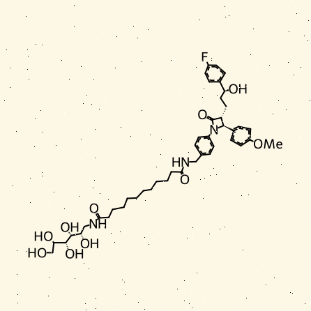 COc1ccc([C@@H]2[C@@H](CC[C@H](O)c3ccc(F)cc3)C(=O)N2c2ccc(CNC(=O)CCCCCCCCCCC(=O)NC[C@H](O)[C@@H](O)[C@H](O)[C@H](O)CO)cc2)cc1